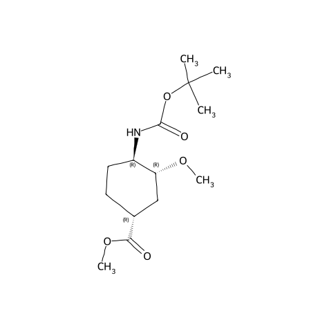 COC(=O)[C@@H]1CC[C@@H](NC(=O)OC(C)(C)C)[C@H](OC)C1